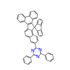 c1ccc(-c2nc(-c3ccccc3)nc(-c3ccc4c5c(ccc4c3)-c3c(c4ccccc4c4ccccc34)C53c4ccccc4-c4ccccc43)n2)cc1